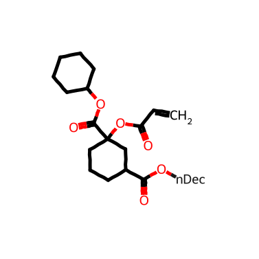 C=CC(=O)OC1(C(=O)OC2CCCCC2)CCCC(C(=O)OCCCCCCCCCC)C1